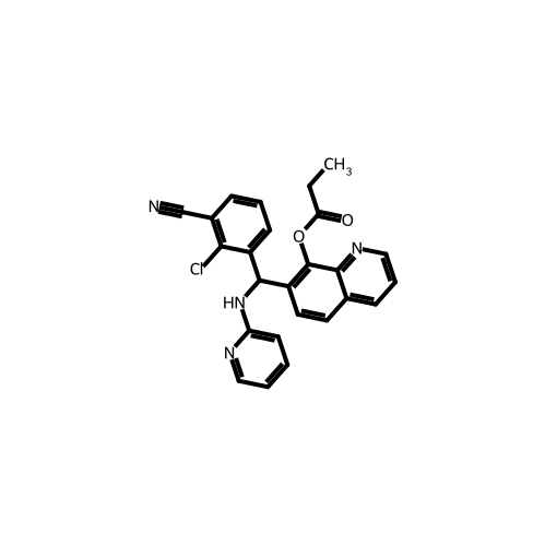 CCC(=O)Oc1c(C(Nc2ccccn2)c2cccc(C#N)c2Cl)ccc2cccnc12